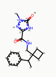 CC(c1ccccc1)C1(CNC(=O)c2nn(C)c(=O)[nH]2)CCC1